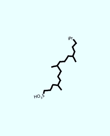 CC(C)CCCC(C)CCCC(C)CCCC(C)CCCS(=O)(=O)O